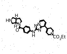 CCOC(=O)N1CC=C(c2cccn3nc(Nc4ccc(C(=O)N5CC[C@H]6CNC[C@H]65)cc4)nc23)CC1